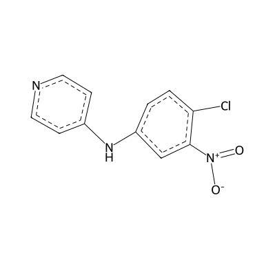 O=[N+]([O-])c1cc(Nc2ccncc2)ccc1Cl